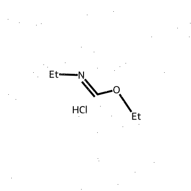 CCN=COCC.Cl